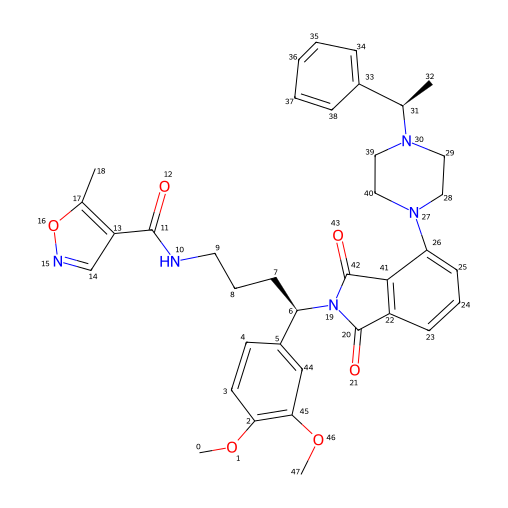 COc1ccc([C@@H](CCCNC(=O)c2cnoc2C)N2C(=O)c3cccc(N4CCN([C@H](C)c5ccccc5)CC4)c3C2=O)cc1OC